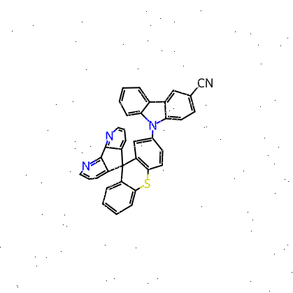 N#Cc1ccc2c(c1)c1ccccc1n2-c1ccc2c(c1)C1(c3ccccc3S2)c2cccnc2-c2ncccc21